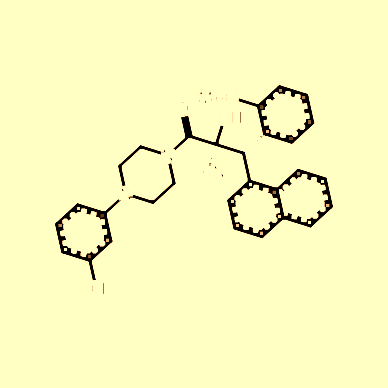 COc1ccccc1[C@H](c1cccc2ccccc12)[C@@](C)(C#N)C(=O)N1CCN(c2cccc(C(F)(F)F)c2)CC1